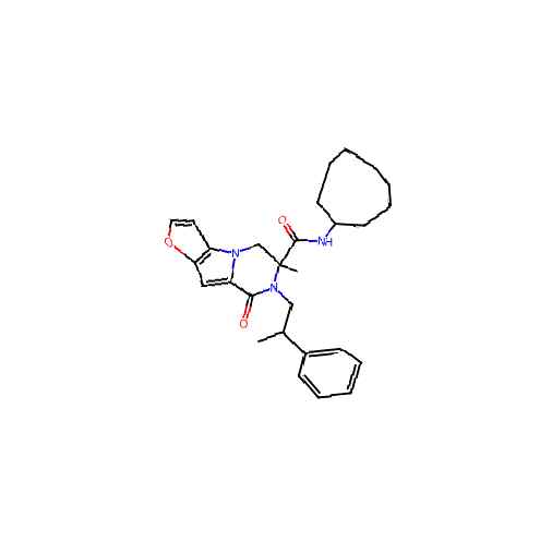 CC(CN1C(=O)c2cc3occc3n2CC1(C)C(=O)NC1CCCCCCC1)c1ccccc1